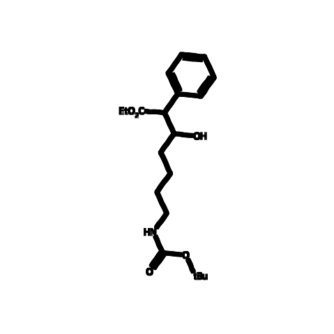 CCOC(=O)C(c1ccccc1)C(O)CCCCNC(=O)OC(C)(C)C